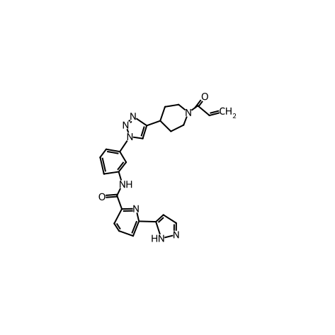 C=CC(=O)N1CCC(c2cn(-c3cccc(NC(=O)c4cccc(-c5ccn[nH]5)n4)c3)nn2)CC1